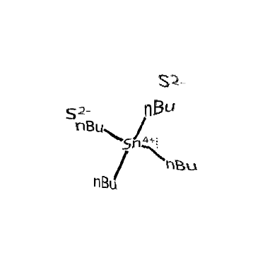 CCC[CH2][Sn+4]([CH2]CCC)([CH2]CCC)[CH2]CCC.[S-2].[S-2]